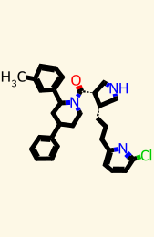 Cc1cccc(C2CC(c3ccccc3)CCN2C(=O)[C@@H]2CNC[C@@H]2CCCc2cccc(Cl)n2)c1